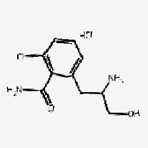 Cl.NC(=O)c1c(Cl)cccc1CC(N)CO